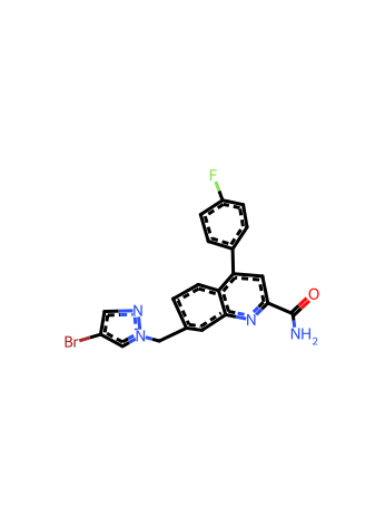 NC(=O)c1cc(-c2ccc(F)cc2)c2ccc(Cn3cc(Br)cn3)cc2n1